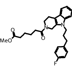 COC(=O)CCCCC(=O)N1CCc2c(n(CCCc3ccc(F)cc3)c3ccccc23)C1